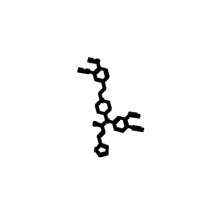 COc1ccc(CCN2CCC(N(C(=O)C=Cc3cccs3)c3ccc(OC)c(OC)c3)CC2)cc1OC